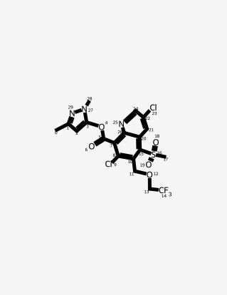 Cc1cc(OC(=O)c2c(Cl)c(COCC(F)(F)F)c(S(C)(=O)=O)c3cc(Cl)cnc23)n(C)n1